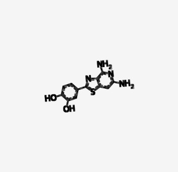 Nc1cc2sc(-c3ccc(O)c(O)c3)nc2c(N)n1